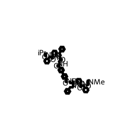 CN[C@@H](C)C(=O)N[C@H](C(=O)N1CCCC[C@H]1CN(CCc1ccccc1)C(=O)CNC(=O)c1ccc(-c2ccc(C(=O)NCC(=O)N(CCc3ccccc3)C[C@@H]3CCCCN3C(=O)[C@@H](NC(=O)C(C)C)C3CCCCC3)cc2)cc1)C1CCCCC1